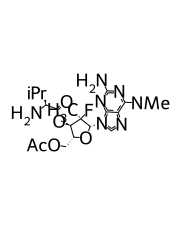 CNc1nc(N)nc2c1ncn2[C@@H]1O[C@H](COC(C)=O)[C@@H](OC(=O)[C@@H](N)C(C)C)[C@@]1(C)F